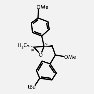 COc1ccc([C@]2(CC(OC)c3ccc(C(C)(C)C)cc3)O[C@@H]2C)cc1